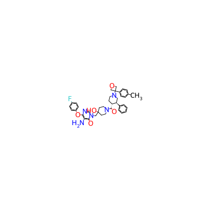 Cc1ccc(C2(N3CC[C@@H](C(=O)N4CCC(O)(Cn5cnc(Oc6ccc(F)cc6)c(N)c5=O)CC4)[C@H](c4ccccc4)C3)COC2)cc1